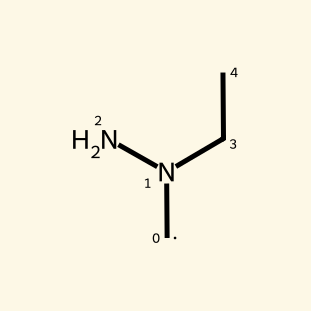 [CH2]N(N)CC